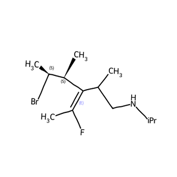 C/C(F)=C(/C(C)CNC(C)C)[C@H](C)[C@H](C)Br